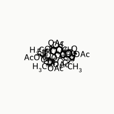 C=C(C)[C@@H]1CC[C@]2(C(=O)OC(C)=O)CC[C@]3(C)C(CCC4[C@@]5(C)CC[C@H](O[C@H](C)[C@H](O[C@@H]6O[C@@H](C)[C@H](OC(C)=O)[C@@H](OC(C)=O)[C@H]6OC(C)=O)[C@@H](OC(C)=O)[C@H](CC)OC(C)=O)[C@@](C)(COC(C)=O)C5CC[C@]43C)C12